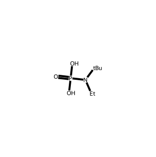 CCN(C(C)(C)C)P(=O)(O)O